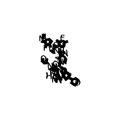 Cc1cc(-n2nc3c(c2-n2ccn(-c4ccc5c(cnn5C)c4F)c2=O)[C@H](C)N(C(=O)c2cc4cc(C5CCOCC5)ccc4n2C2(c4nnn[nH]4)[C@@H]4CN(C5CCOC5)C[C@@H]42)CC3)cc(C)c1F